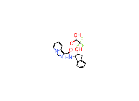 O=C(N[C@H]1c2ccccc2C[C@H]1O)c1ncn2ccccc12.O=C(O)C(F)(F)F